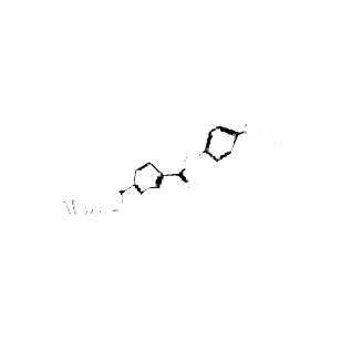 CCCCCCCCCCOC(=O)c1ccc(C(=O)Oc2ccc([N+](=O)[O-])cc2)cc1